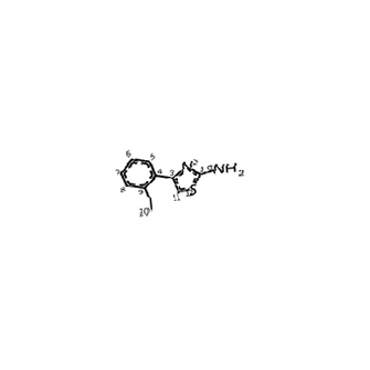 Nc1nc(-c2ccccc2I)cs1